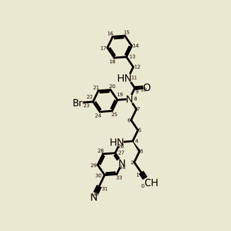 C#CCC[C@H](CCCN(C(=O)NCc1ccccc1)c1ccc(Br)cc1)Nc1ccc(C#N)cn1